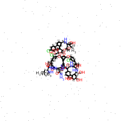 CN[C@H](CC(C)C)C(=O)N[C@H]1C(=O)N[C@@H](CC(N)=O)C(=O)N[C@H]2C(=O)N[C@H]3C(=O)N[C@H](C(=O)N[C@H](CO)C4=CC(O)CC(O)=C4C4CC3=CC=C4O)[C@H](O)C3=CC=C(Oc4cc2cc(c4O[C@H]2OC(CO)C(O)[C@@H]4c5cc(ccc5-c5ccc(Cl)cc5)CNC5(C)C[C@H](OC24)OC(C)[C@H]5O)OC2=C(Cl)C=C(CC2)[C@H]1O)C(Cl)C3